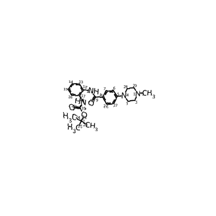 CN1CCN(c2ccc(C(=O)Nc3ccccc3NC(=O)OC(C)(C)C)cc2)CC1